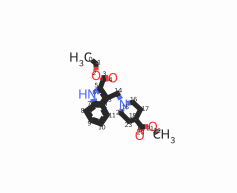 CCOC(=O)c1[nH]c2ccccc2c1CN1CCC(C(=O)OC)CC1